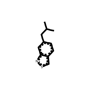 CC(C)Cc1ccc2csnc2c1